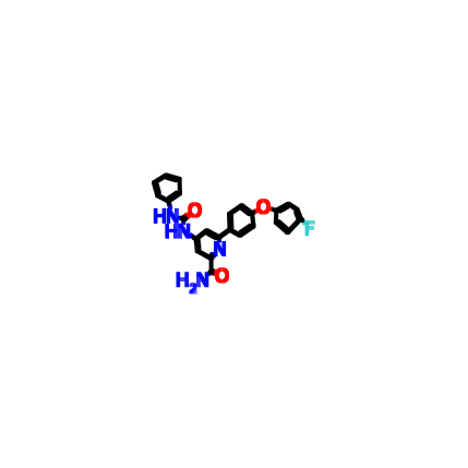 NC(=O)c1cc(NC(=O)Nc2ccccc2)cc(-c2ccc(Oc3ccc(F)cc3)cc2)n1